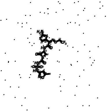 Cc1cc(NS(=O)(=O)NC(=O)N2C[C@H](NC(=O)/C(=N\OCC(F)(F)F)c3csc(N)n3)C2=O)no1